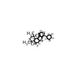 CC1(C)CCC(C)(C)c2c1ccc1sc3c(-c4ccccc4)nccc3c21